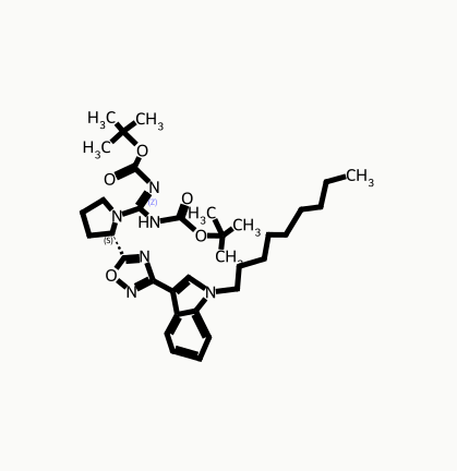 CCCCCCCCCn1cc(-c2noc([C@@H]3CCCN3/C(=N\C(=O)OC(C)(C)C)NC(=O)OC(C)(C)C)n2)c2ccccc21